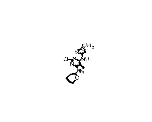 Cn1cnc(Nc2nc(Cl)nc3c2cnn3C2CCCCO2)c1